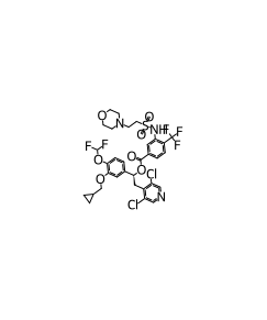 O=C(O[C@@H](Cc1c(Cl)cncc1Cl)c1ccc(OC(F)F)c(OCC2CC2)c1)c1ccc(C(F)(F)F)c(NS(=O)(=O)CCN2CCOCC2)c1